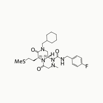 CSCC[C@H]1C(=O)N(CC2CCCCC2)C[C@H]2N1C(=O)CN(C)N2C(=O)NCc1ccc(F)cc1